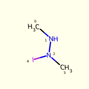 CNN(C)I